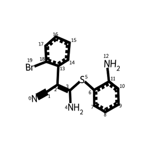 N#C/C(=C(\N)Sc1ccccc1N)c1ccccc1Br